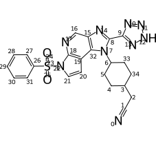 N#CCC1CCC(n2c(-c3nn[nH]n3)nc3cnc4c(ccn4S(=O)(=O)c4ccccc4)c32)CC1